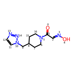 O=C(/C=N/O)N1CCC(Cn2ccnn2)CC1